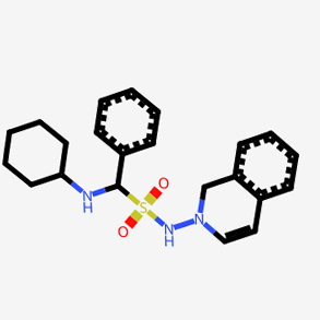 O=S(=O)(NN1C=Cc2ccccc2C1)C(NC1CCCCC1)c1ccccc1